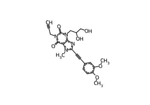 C#CCn1c(=O)c2c(nc(C#Cc3ccc(OC)c(OC)c3)n2C)n(CC(O)CO)c1=O